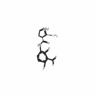 C[C@@H]1NCC[C@@H]1C(=O)Nc1ccc(F)c(C(F)F)c1F